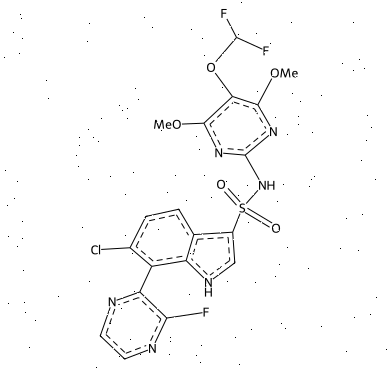 COc1nc(NS(=O)(=O)c2c[nH]c3c(-c4nccnc4F)c(Cl)ccc23)nc(OC)c1OC(F)F